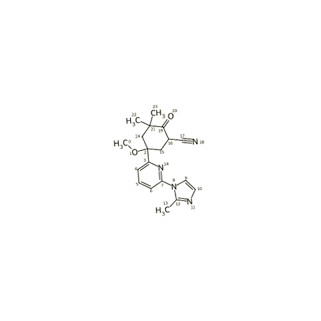 COC1(c2cccc(-n3ccnc3C)n2)CC(C#N)C(=O)C(C)(C)C1